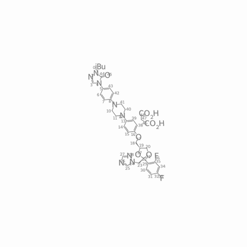 CCC(C)n1ncn(-c2ccc(N3CCN(c4ccc(OC[C@H]5CO[C@](Cn6cncn6)(c6ccc(F)cc6F)O5)cc4)CC3)cc2)c1=O.O=C(O)CC(=O)O